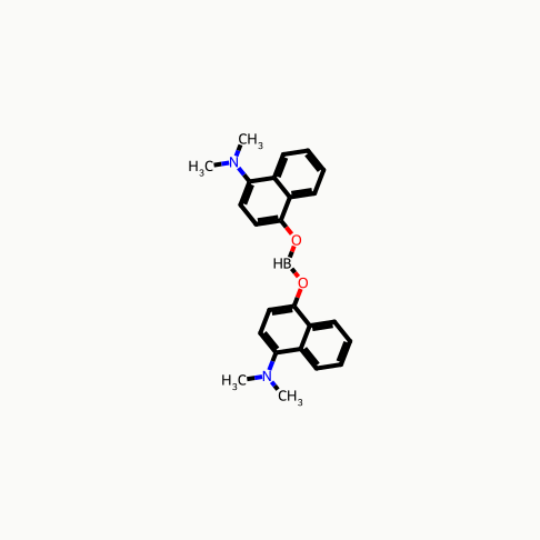 CN(C)c1ccc(OBOc2ccc(N(C)C)c3ccccc23)c2ccccc12